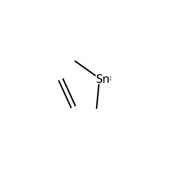 C=C.[CH3][Sn][CH3]